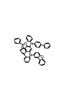 c1ccc(-c2ccc(N(c3ccccc3)c3cc(N(c4ccc5oc6ccccc6c5c4)c4ccccc4-c4ccccc4)cc4nc(-c5ccccc5)oc34)cc2)cc1